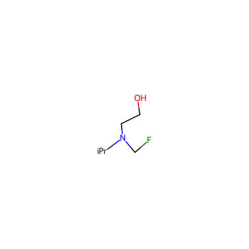 CC(C)N(CF)CCO